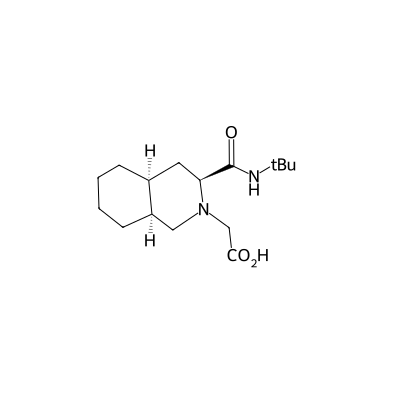 CC(C)(C)NC(=O)[C@@H]1C[C@@H]2CCCC[C@@H]2CN1CC(=O)O